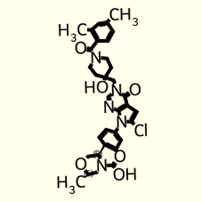 Cc1ccc(C(=O)N2CCC(O)(Cn3cnc4c(cc(Cl)n4-c4ccc([C@@H]5CO[C@@H](C)CN5C(=O)O)cc4)c3=O)CC2)c(C)c1